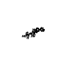 O=C(O)NCCNC(=O)c1cc2cc(-c3cccnc3)ccc2[nH]1